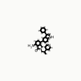 C=C(CN1Cc2c(-c3ccc4[nH]nc(-c5ccccc5)c4c3)ccc(N)c2C1=O)c1ccncc1